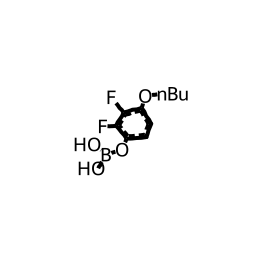 CCCCOc1ccc(OB(O)O)c(F)c1F